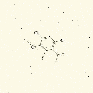 COc1c(Cl)cc(Cl)c(C(C)C)c1F